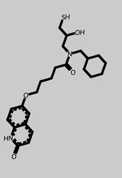 O=C(CCCCOc1ccc2[nH]c(=O)ccc2c1)N(CC(O)CS)CC1CCCCC1